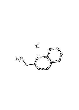 Cl.PCc1ccc2ccccc2n1